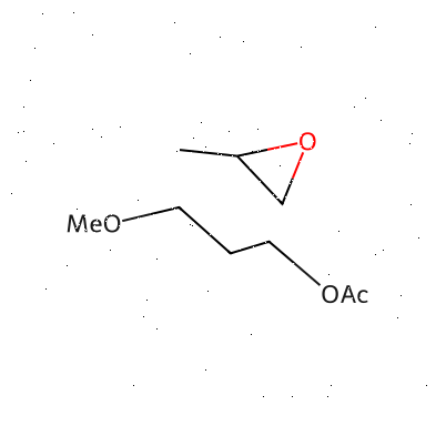 CC1CO1.COCCCOC(C)=O